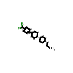 CCC[C@H]1CC[C@H](C2CCC(c3ccc(C(F)F)cc3)CC2)CC1